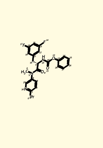 CC(C)c1ccc(N(C)C(=O)[C@H](Cc2cc(F)cc(F)c2)NC(=O)Oc2ccccc2)cn1